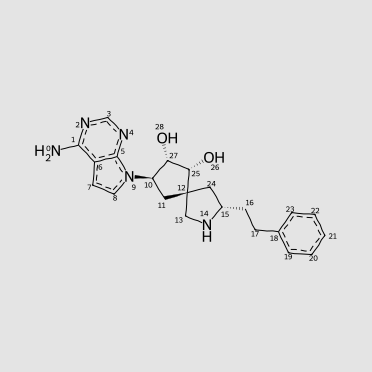 Nc1ncnc2c1ccn2[C@@H]1C[C@@]2(CN[C@@H](CCc3ccccc3)C2)[C@@H](O)[C@H]1O